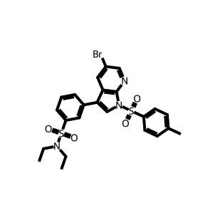 CCN(CC)S(=O)(=O)c1cccc(-c2cn(S(=O)(=O)c3ccc(C)cc3)c3ncc(Br)cc23)c1